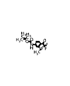 COc1cc(NC(=O)OC(C)(C)C)ccc1C(=O)C(F)(F)F